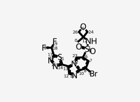 CC1(NS(=O)(=O)c2cc(Br)c3ncc(-c4nnc(C(F)F)s4)n3c2)COC1